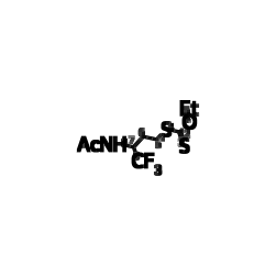 CCOC(=S)S[CH]CC(NC(C)=O)C(F)(F)F